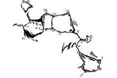 O=C(Nc1ccccc1)c1ccc2cc3n(c2c1)CCNC3=O